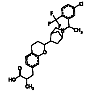 CC(Cc1ccc2c(c1)OC(C1CC3CC1CN3C(C)c1cc(Cl)ccc1C(F)(F)F)CC2)C(=O)O